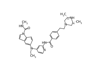 CCN(c1ccnc(NC(=O)c2ccc(CCN3C[C@@H](C)N[C@@H](C)C3)cc2)c1)c1ccc2c(ccn2C(=O)NC)c1